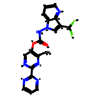 Cc1nc(-c2ncccn2)ncc1OC(=O)Nn1cc(C(F)F)c2ncccc21